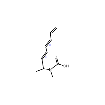 C=C/C=C/C=C/C(C)N(C)C(=O)O